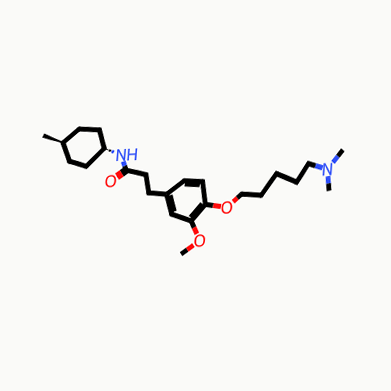 COc1cc(CCC(=O)N[C@H]2CC[C@H](C)CC2)ccc1OCCCCCN(C)C